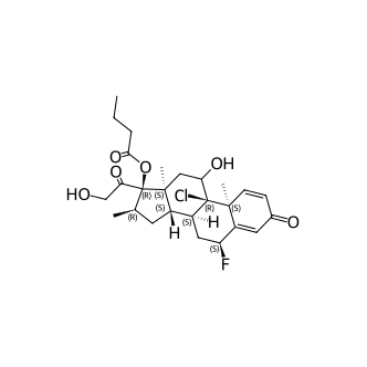 CCCC(=O)O[C@]1(C(=O)CO)[C@H](C)C[C@H]2[C@@H]3C[C@H](F)C4=CC(=O)C=C[C@]4(C)[C@@]3(Cl)C(O)C[C@@]21C